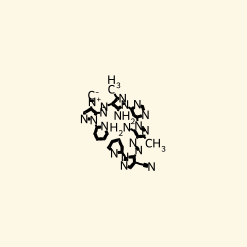 [C-]#[N+]c1cnn(-c2ccccn2)c1N=Nc1c(C)nn(-c2cc(-n3nc(C)c(N=Nc4c(C#N)cnn4-c4ccccn4)c3N)ncn2)c1N